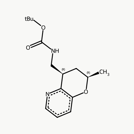 C[C@@H]1C[C@H](CNC(=O)OC(C)(C)C)c2ncccc2O1